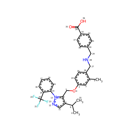 Cc1cc(OCc2c(C(C)C)cnn2-c2ccccc2C(F)(F)F)ccc1CNCc1ccc(C(=O)O)cc1